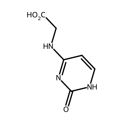 O=C(O)CNc1cc[nH]c(=O)n1